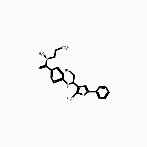 Cc1oc(-c2ccccc2)cc1C(CC(C)(C)C)Nc1ccc(C(=O)N(C)CCC(=O)O)cc1